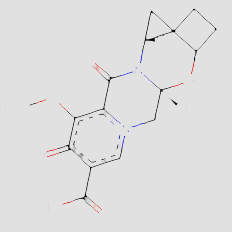 COc1c2n(cc(C(=O)O)c1=O)C[C@H]1O[C@@H]3CCC34C[C@H]4N1C2=O